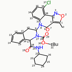 Cc1onc2c1c(=O)n(C1Cc3ccccc3C(C(=O)NC3CCCCC3)N1C(=O)OC(C)(C)C)c1cccc(Cl)c21